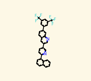 FC(F)(F)c1cc(-c2ccc3cc(-c4ccc(-c5cccc6ccccc56)nc4)cnc3c2)cc(C(F)(F)F)c1